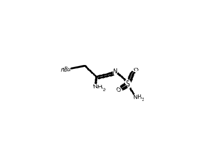 CCCCC/C(N)=N/S(N)(=O)=O